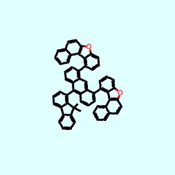 CC1(C)c2ccccc2-c2cccc(-c3c4cccc(-c5cccc6oc7ccc8ccccc8c7c56)c4cc4c(-c5cccc6oc7ccc8ccccc8c7c56)cccc34)c21